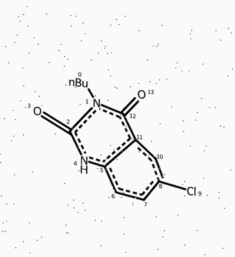 CCCCn1c(=O)[nH]c2ccc(Cl)cc2c1=O